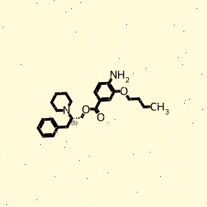 CCCCOc1cc(C(=O)OC[C@H](Cc2ccccc2)N2CCCCC2)ccc1N